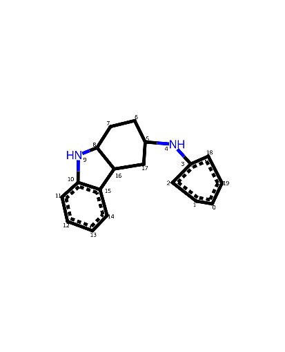 c1ccc(NC2CCC3Nc4ccccc4C3C2)cc1